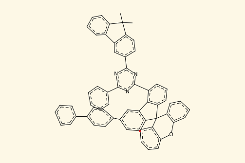 CC1(C)c2ccccc2-c2cc(-c3nc(-c4ccccc4)nc(-c4cccc5c4-c4cc(-c6ccc(-c7ccccc7)cc6)ccc4C54c5ccccc5Oc5ccccc54)n3)ccc21